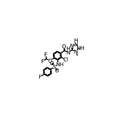 CN1NNN=C1NC(=O)c1ccc(OC(F)F)c(NS(=O)(=O)c2ccc(F)cc2)c1Cl